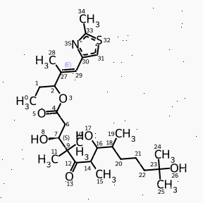 CCC(OC(=O)C[C@H](O)C(C)(C)C(=O)C(C)C(O)C(C)CCCC(C)(C)O)/C(C)=C/c1csc(C)n1